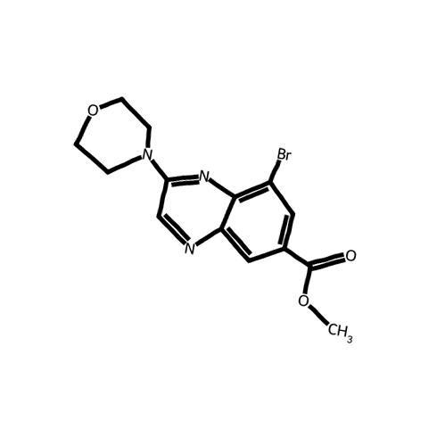 COC(=O)c1cc(Br)c2nc(N3CCOCC3)cnc2c1